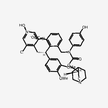 COc1ccc([C@H](Cc2c(Cl)c[n+](O)cc2Cl)c2c(CN(C(=O)O[C@H]3CN4CCC3CC4)c3ccc(O)cc3)cccc2C(=O)[O-])cc1OC